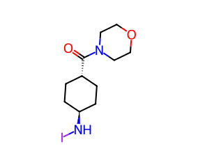 O=C([C@H]1CC[C@H](NI)CC1)N1CCOCC1